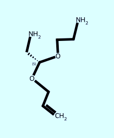 C=CCO[C@H](CN)OCCN